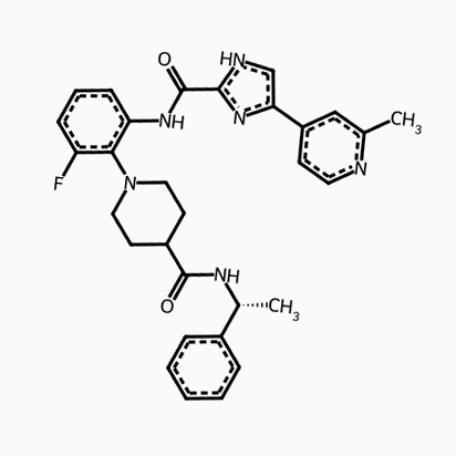 Cc1cc(-c2c[nH]c(C(=O)Nc3cccc(F)c3N3CCC(C(=O)N[C@H](C)c4ccccc4)CC3)n2)ccn1